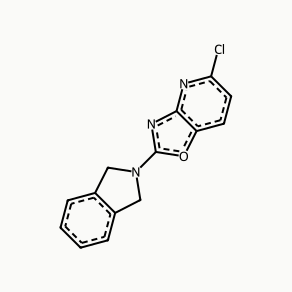 Clc1ccc2oc(N3Cc4ccccc4C3)nc2n1